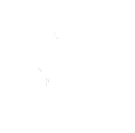 c1ccc2c(c1)c1cccc3[siH]cc4n[nH]c2c4c31